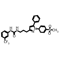 CS(=O)(=O)C1=CCC(n2nc(CCCNC(=O)Nc3cccc(C(F)(F)F)c3)cc2-c2ccccc2)C=C1